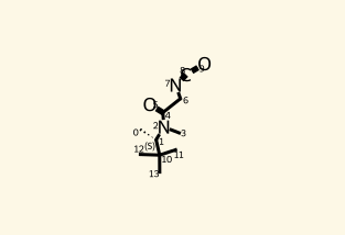 C[C@H](N(C)C(=O)CN=C=O)C(C)(C)C